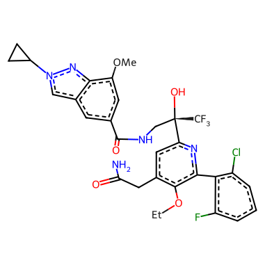 CCOc1c(CC(N)=O)cc([C@@](O)(CNC(=O)c2cc(OC)c3nn(C4CC4)cc3c2)C(F)(F)F)nc1-c1c(F)cccc1Cl